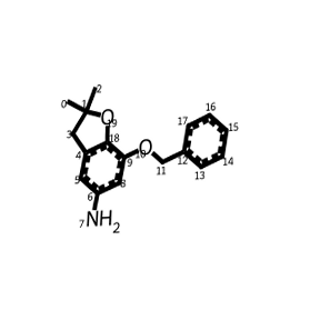 CC1(C)Cc2cc(N)cc(OCc3ccccc3)c2O1